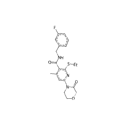 CCSc1nc(N2CCOCC2=O)cc(C)c1C(=O)NCc1cccc(F)c1